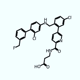 O=C(O)CCNC(=O)c1ccc(-c2cc(Cl)ccc2CNc2ccc(-c3cccc(CF)c3)c(Cl)c2)cn1